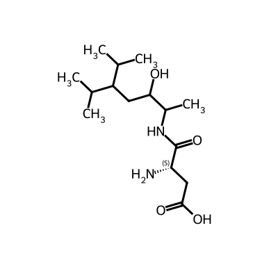 CC(C)C(CC(O)C(C)NC(=O)[C@@H](N)CC(=O)O)C(C)C